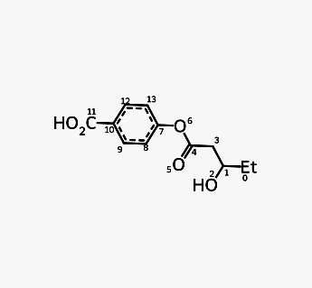 CCC(O)CC(=O)Oc1ccc(C(=O)O)cc1